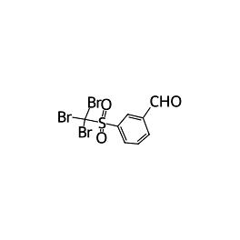 O=Cc1cccc(S(=O)(=O)C(Br)(Br)Br)c1